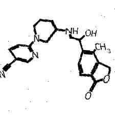 Cc1c(C(O)CNC2CCCN(c3ccc(C#N)cn3)C2)ccc2c1COC2=O